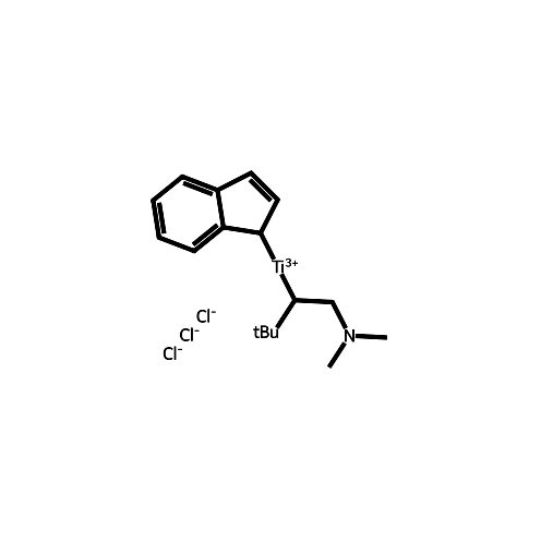 CN(C)C[CH]([Ti+3][CH]1C=Cc2ccccc21)C(C)(C)C.[Cl-].[Cl-].[Cl-]